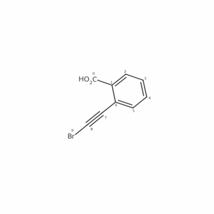 O=C(O)c1ccccc1C#CBr